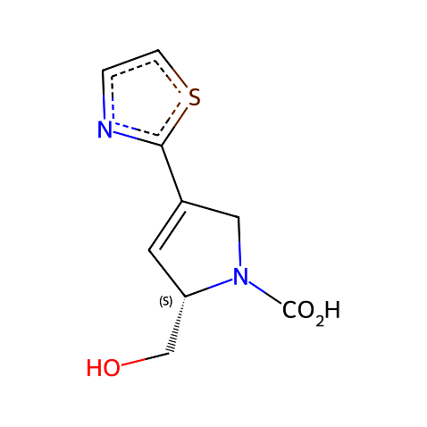 O=C(O)N1CC(c2nccs2)=C[C@H]1CO